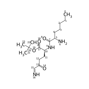 CCCCCC(N)C(=O)N[C@@H](CCC(=O)C=N)C(=O)OC(C)(C)C